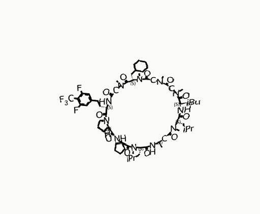 CC[C@H](C)[C@@H]1NC(=O)[C@H](CC(C)C)N(C)C(=O)C[C@@H](C)NC(=O)[C@H](CC(C)C)N(C)C(=O)C2(CCCC2)NC(=O)[C@@H]2CCCN2C(=O)[C@H](CCc2cc(F)c(C(F)(F)F)c(F)c2)NC(=O)CN(C)C(=O)[C@H](CC2CCCCC2)N(C)C(=O)CN(C)C(=O)CN(C)C1=O